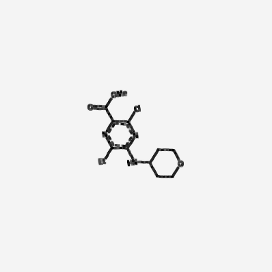 CCc1nc(C(=O)OC)c(Cl)nc1NC1CCOCC1